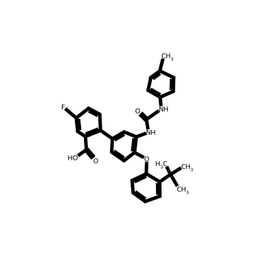 Cc1ccc(NC(=O)Nc2cc(-c3ccc(F)cc3C(=O)O)ccc2Oc2ccccc2C(C)(C)C)cc1